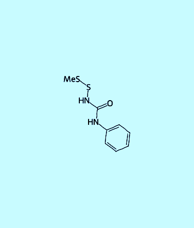 CSSNC(=O)Nc1ccccc1